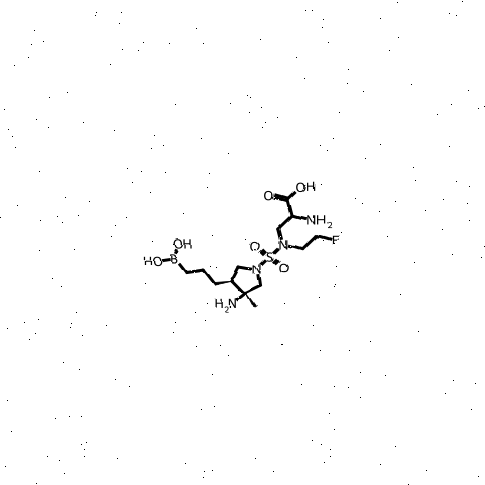 C[C@]1(N)CN(S(=O)(=O)N(CCF)CC(N)C(=O)O)C[C@@H]1CCCB(O)O